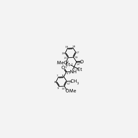 CCC(CC)(NC(=O)c1cccc(OC)c1C)C(=O)c1ccccc1OC